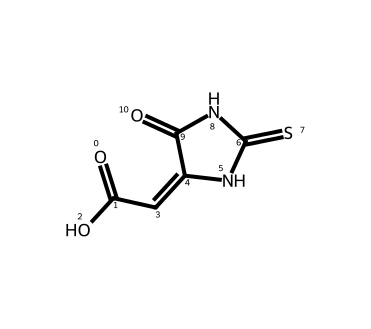 O=C(O)C=C1NC(=S)NC1=O